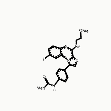 CNC(=O)Nc1ccc(-c2cnc3c(NCCOC)nc4ccc(F)cc4n23)cc1